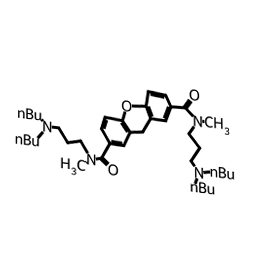 CCCCN(CCCC)CCCN(C)C(=O)c1ccc2c(c1)Cc1cc(C(=O)N(C)CCCN(CCCC)CCCC)ccc1O2